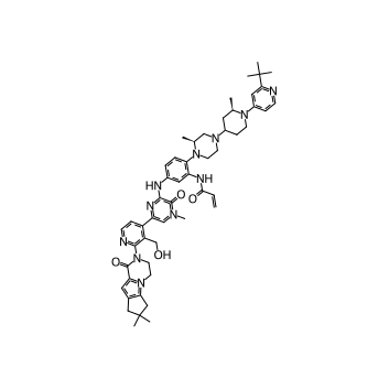 C=CC(=O)Nc1cc(Nc2nc(-c3ccnc(N4CCn5c(cc6c5CC(C)(C)C6)C4=O)c3CO)cn(C)c2=O)ccc1N1CCN(C2CCN(c3ccnc(C(C)(C)C)c3)[C@H](C)C2)C[C@@H]1C